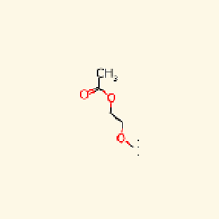 [C]OCCOC(C)=O